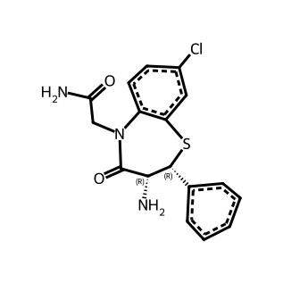 NC(=O)CN1C(=O)[C@@H](N)[C@@H](c2ccccc2)Sc2cc(Cl)ccc21